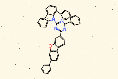 c1ccc(-c2ccc3c(c2)oc2cc(-c4nc(-c5ccccc5)nc(-n5c6ccccc6c6cccc(-c7ccccc7)c65)n4)ccc23)cc1